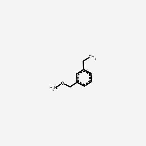 CCc1cccc(CON)c1